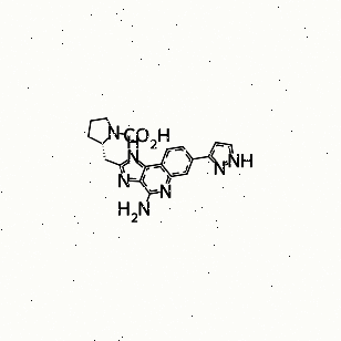 Nc1nc2cc(-c3cc[nH]n3)ccc2c2[nH]c(C[C@@H]3CCCN3C(=O)O)nc12